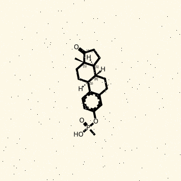 C[C@]12CC[C@@H]3c4ccc(OP(C)(=O)O)cc4CC[C@H]3[C@@H]1CCC2=O